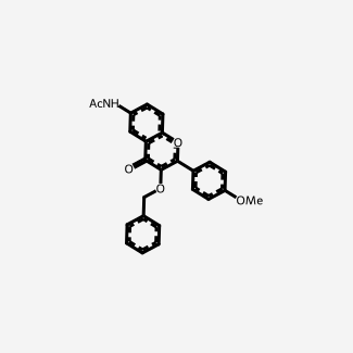 COc1ccc(-c2oc3ccc(NC(C)=O)cc3c(=O)c2OCc2ccccc2)cc1